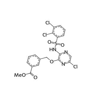 COC(=O)c1cccc(COc2nc(Cl)cnc2NS(=O)(=O)c2cccc(Cl)c2Cl)c1